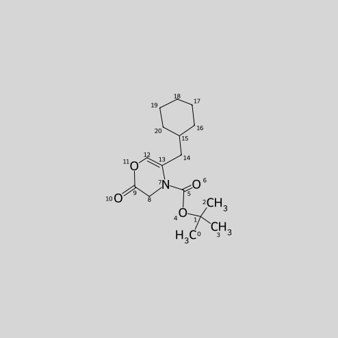 CC(C)(C)OC(=O)N1CC(=O)OC=C1CC1CCCCC1